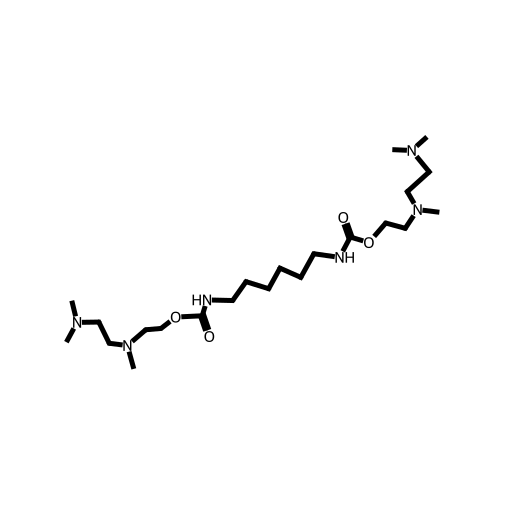 CN(C)CCN(C)CCOC(=O)NCCCCCCNC(=O)OCCN(C)CCN(C)C